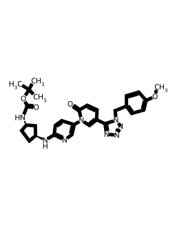 COc1ccc(Cn2nnnc2-c2ccc(=O)n(-c3ccc(N[C@H]4CC[C@H](NC(=O)OC(C)(C)C)C4)nc3)c2)cc1